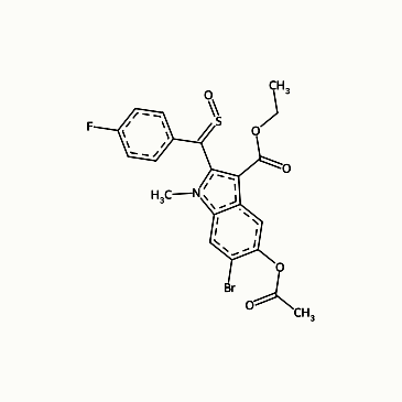 CCOC(=O)c1c(C(=S=O)c2ccc(F)cc2)n(C)c2cc(Br)c(OC(C)=O)cc12